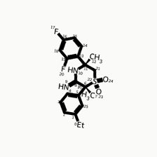 CCc1cccc([C@]2(C)C(=N)N[C@](C)(c3ccc(F)cc3F)CS2(=O)=O)c1